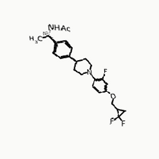 CC(=O)N[C@@H](C)c1ccc(C2CCN(c3ccc(OCC4CC4(F)F)cc3F)CC2)cc1